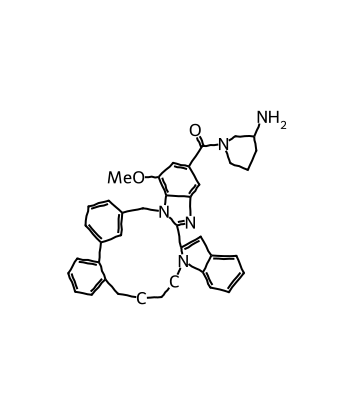 COc1cc(C(=O)N2CCCC(N)C2)cc2nc3n(c12)Cc1cccc(c1)-c1ccccc1CCCCn1c-3cc2ccccc21